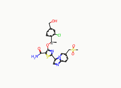 C[C@@H](Oc1nc(-c2cnc3ccc(CS(C)(=O)=O)cn23)sc1C(N)=O)c1ccc(CO)cc1Cl